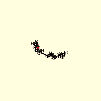 CCc1ccc2c(c1)c(=O)c(C(=O)Nc1ccc(Oc3ncnc4cc(OCCCCCC(=O)Nc5cccc6c5C(=O)N(C5CCC(=O)NC5=O)C6=O)c(C)cc34)c(F)c1)c(C)n2C